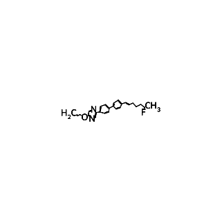 C=CCOc1cnc(-c2ccc(-c3ccc(/C=C/CCCC(C)F)cc3)cc2)cn1